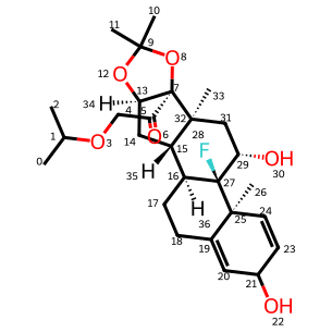 CC(C)OCC(=O)[C@@]12OC(C)(C)O[C@@H]1C[C@H]1[C@@H]3CCC4=CC(O)C=C[C@]4(C)[C@@]3(F)[C@@H](O)C[C@@]12C